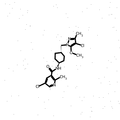 COc1c(Cl)c(C)nn1C[C@H]1CC[C@H](NC(=O)c2cc(Cl)cnc2C)CC1